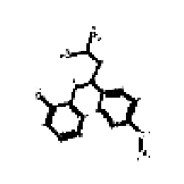 COc1ccc(C(CC(C)O)Sc2ccccc2Cl)cc1